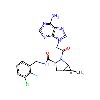 C[C@H]1C2C[C@@H](C(=O)NCc3cccc(Cl)c3F)N(C(=O)Cn3cnc4c(N)ncnc43)C21